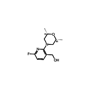 C[C@@H]1CN(c2nc(F)ccc2CO)C[C@H](C)O1